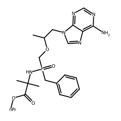 CCCOC(=O)C(C)(C)NP(=O)(COC(C)Cn1cnc2c(N)ncnc21)Cc1ccccc1